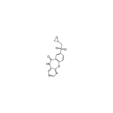 O=C1Nc2cncnc2Oc2ccc(S(=O)(=O)CC3CO3)cc21